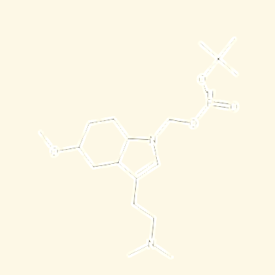 COC1CCC2C(C1)C(CCN(C)C)=CN2CO[PH](=O)OC(C)(C)C